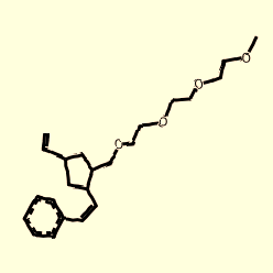 C=CC1CC(/C=C\c2ccccc2)C(COCCOCCOCCOC)C1